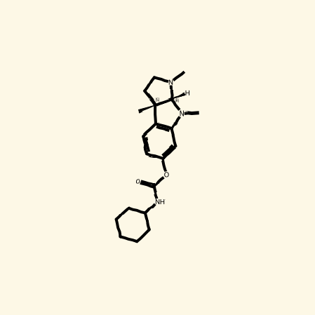 CN1CC[C@@]2(C)c3ccc(OC(=O)NC4CCCCC4)cc3N(C)[C@@H]12